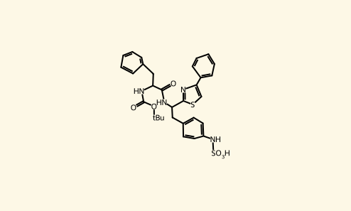 CC(C)(C)OC(=O)NC(Cc1ccccc1)C(=O)NC(Cc1ccc(NS(=O)(=O)O)cc1)c1nc(-c2ccccc2)cs1